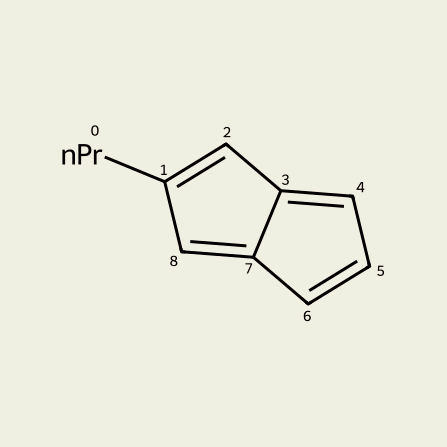 CCCC1=CC2=CC=CC2=C1